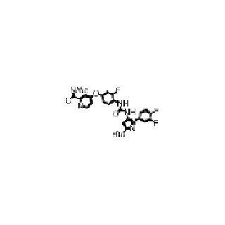 CNC(=O)c1cc(Oc2ccc(NC(=O)Nc3cc(C(C)(C)C)nn3-c3ccc(F)c(F)c3)c(F)c2)ccn1